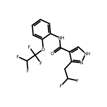 O=C(Nc1ccccc1OC(F)(F)C(F)F)c1c[nH]nc1CC(F)F